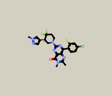 Cc1nc2c(-c3ccc(Cl)cc3F)nc(N3CCC(F)(F)[C@H](c4cnn(C)c4)C3)nc2c(=O)n1C